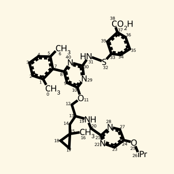 Cc1cccc(C)c1-c1cc(OCC(CC2(C)CC2)NCc2ncc(OC(C)C)cn2)nc(NSc2cccc(C(=O)O)c2)n1